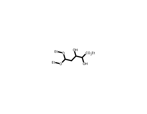 CCOC(=O)C(O)C(O)CC(OCC)OCC